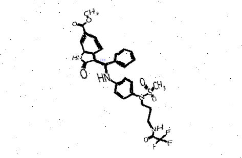 COC(=O)c1ccc2c(c1)NC(=O)/C2=C(\Nc1ccc(N(CCCNC(=O)C(F)(F)F)S(C)(=O)=O)cc1)c1ccccc1